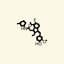 CCC1=C(CC(=O)Nc2cccc(C)c2)c2c(ccc(F)c2CC)C1=Cc1ccc(O)c(OC)c1